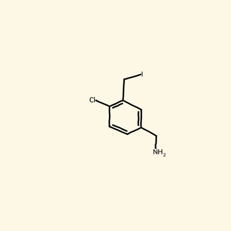 NCc1ccc(Cl)c(CI)c1